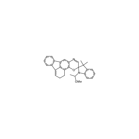 COC(C)N1c2ccccc2C(C)(C)C12C=Nc1cc3c4c(c1O2)CCC=C4c1ccccc1-3